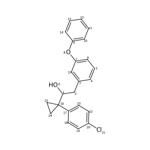 OC(Cc1cccc(Oc2ccccc2)c1)C1(c2ccc(Cl)cc2)CC1